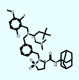 COc1ccc(Cl)c(CN(Cc2cccc(CN3[C@@H](C(=O)NC45CC6CC(CC(C6)C4)C5)CCS3(=O)=O)c2)[C@H](CN(C)C)CC(C)(C)C)c1F